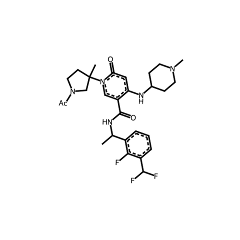 CC(=O)N1CCC(C)(n2cc(C(=O)NC(C)c3cccc(C(F)F)c3F)c(NC3CCN(C)CC3)cc2=O)C1